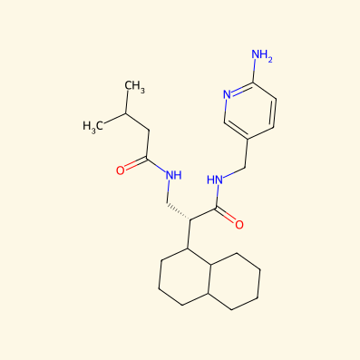 CC(C)CC(=O)NC[C@H](C(=O)NCc1ccc(N)nc1)C1CCCC2CCCCC21